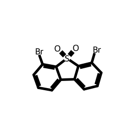 O=S1(=O)c2c(Br)cccc2-c2cccc(Br)c21